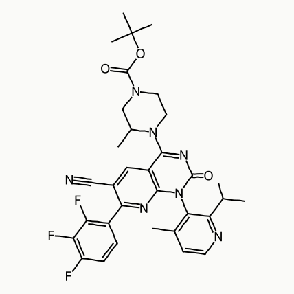 Cc1ccnc(C(C)C)c1-n1c(=O)nc(N2CCN(C(=O)OC(C)(C)C)CC2C)c2cc(C#N)c(-c3ccc(F)c(F)c3F)nc21